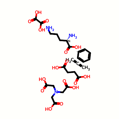 C=C=C.NCCC[C@H](N)C(=O)O.O=C(O)C(=O)O.O=C(O)CCC(=O)O.O=C(O)CN(CC(=O)O)CC(=O)O.[c]1ccccc1